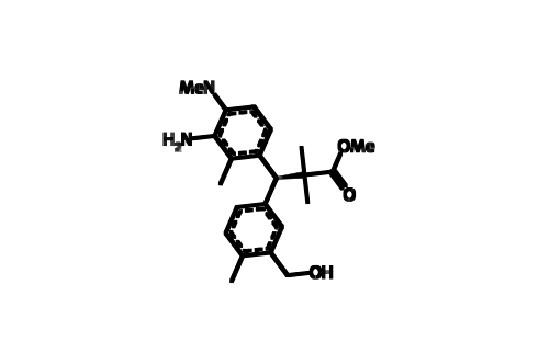 CNc1ccc([C@H](c2ccc(C)c(CO)c2)C(C)(C)C(=O)OC)c(C)c1N